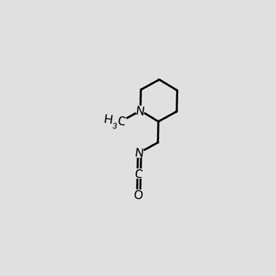 CN1CCCCC1CN=C=O